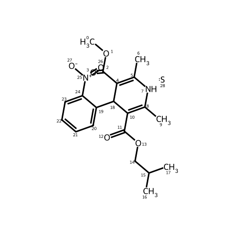 COC(=O)C1=C(C)NC(C)=C(C(=O)OCC(C)C)C1c1ccccc1[N+](=O)[O-].[S]